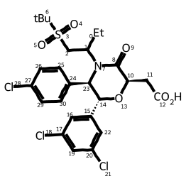 CCC(CS(=O)(=O)C(C)(C)C)N1C(=O)[C@@H](CC(=O)O)O[C@H](c2cc(Cl)cc(Cl)c2)[C@H]1c1ccc(Cl)cc1